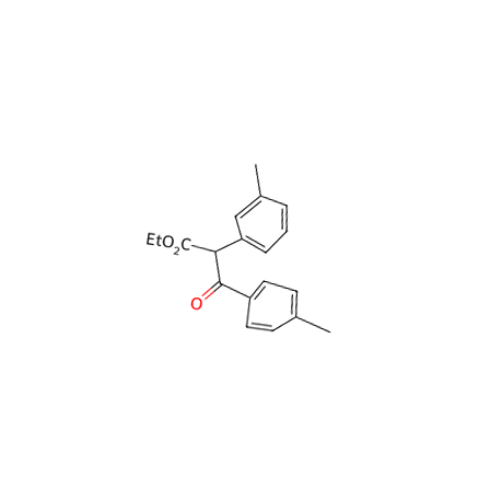 CCOC(=O)C(C(=O)c1ccc(C)cc1)c1cccc(C)c1